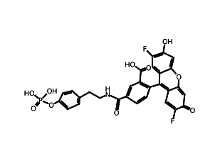 O=C(NCCc1ccc(OP(=O)(O)O)cc1)c1ccc(-c2c3cc(F)c(=O)cc-3oc3cc(O)c(F)cc23)c(C(=O)O)c1